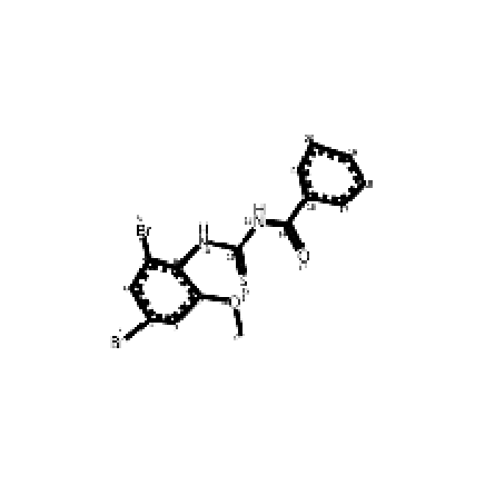 COc1cc(Br)cc(Br)c1NC(=S)NC(=O)c1ccccc1